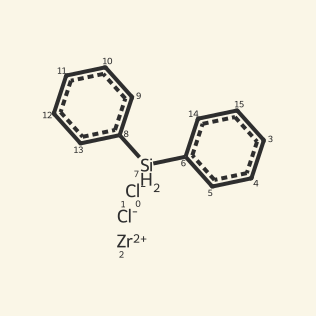 [Cl-].[Cl-].[Zr+2].c1ccc([SiH2]c2ccccc2)cc1